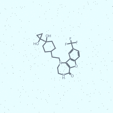 O=C1NCCN(CCC2CCC(O)(C3(O)CC3)CC2)c2c1oc1ccc(C(F)(F)F)cc21